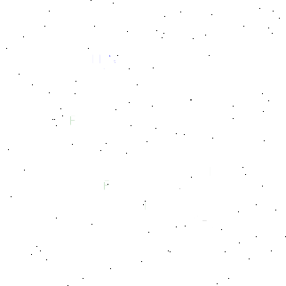 Nc1ccc(C(F)(F)C(F)(F)F)c(F)c1F